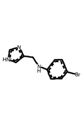 Brc1ccc(NCc2c[nH]cn2)cc1